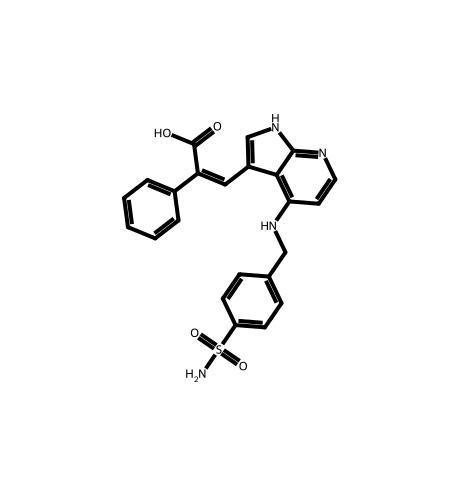 NS(=O)(=O)c1ccc(CNc2ccnc3[nH]cc(C=C(C(=O)O)c4ccccc4)c23)cc1